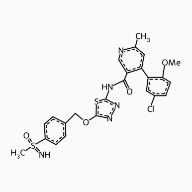 COc1ccc(Cl)cc1-c1cc(C)ncc1C(=O)Nc1nnc(OCc2ccc(S(C)(=N)=O)cc2)s1